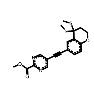 COC(=O)c1ncc(C#Cc2ccc3c(c2)C(SC)(SC)CCO3)cn1